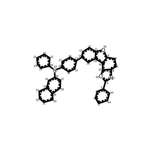 c1ccc(-c2nc3ccc4oc5ccc(-c6ccc(N(c7ccccc7)c7ccc8ccccc8c7)cc6)cc5c4c3o2)cc1